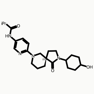 CC(C)C(=O)Nc1ccc(N2CCC[C@]3(CCN(C4CCC(O)CC4)C3=O)C2)nc1